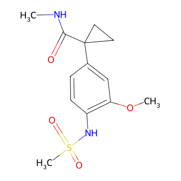 CNC(=O)C1(c2ccc(NS(C)(=O)=O)c(OC)c2)CC1